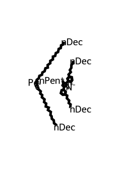 CCCCCCCCCCCCCCCCCCCCCCCCCCCCC[CH2][Pd][CH2]CCCCCCCCCCCCCCCCCCCCCCCCCCCCC.CCCCCCCCCCCCCCCCc1cccc(C2=CC(CCCCC)=C(c3cccc(CCCCCCCCCCCCCCCC)c3)[N+]2=[N-])c1